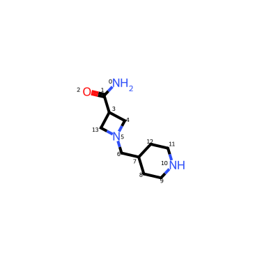 NC(=O)C1CN(CC2CCNCC2)C1